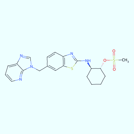 CS(=O)(=O)O[C@@H]1CCCC[C@H]1Nc1nc2ccc(Cn3cnc4cccnc43)cc2s1